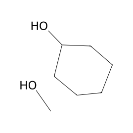 CO.OC1CCCCC1